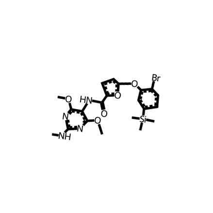 CNc1nc(OC)c(NC(=O)c2ccc(Oc3cc([Si](C)(C)C)ccc3Br)o2)c(OC)n1